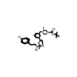 C[C@H]1CN(C(=O)OC(C)(C)C)CCN1Cc1cccc(C2=NC(C)(NCCc3ccc(O)cc3)NC=C2)c1